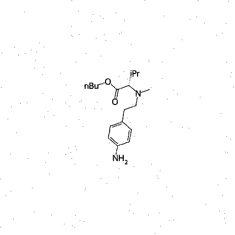 CCCCOC(=O)[C@H](C(C)C)N(C)CCc1ccc(N)cc1